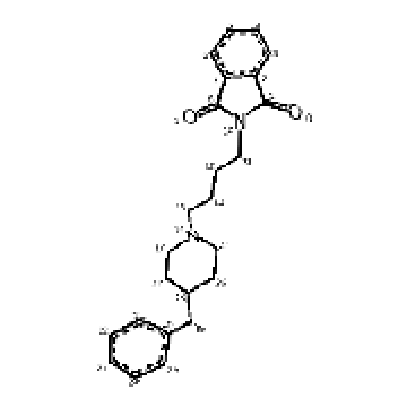 O=C1c2ccccc2C(=O)N1CCCCN1CCC(Cc2ccccc2)CC1